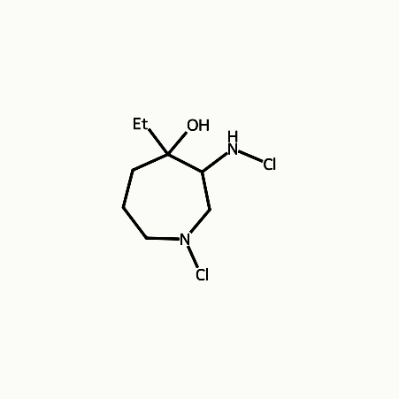 CCC1(O)CCCN(Cl)CC1NCl